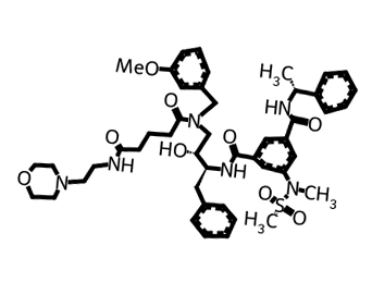 COc1cccc(CN(C[C@@H](O)[C@H](Cc2ccccc2)NC(=O)c2cc(C(=O)N[C@H](C)c3ccccc3)cc(N(C)S(C)(=O)=O)c2)C(=O)CCCC(=O)NCCN2CCOCC2)c1